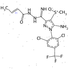 C/C=C/C(=O)NNC(=N)c1nn(-c2c(Cl)cc(C(F)(F)F)cc2Cl)c(N)c1[S+](C)[O-]